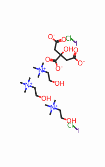 C[N+](C)(C)CCO.C[N+](C)(C)CCO.C[N+](C)(C)CCO.ClI.ClI.O=C([O-])CC(O)(CC(=O)[O-])C(=O)[O-]